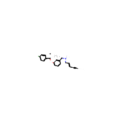 CCN(CC=CC#CC(C)(C)C)Cc1cccc(OC(c2ccc(F)cc2)[SiH](C)C)c1